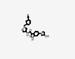 N#Cc1cccc(Cn2cc(NC(=O)c3n[nH]c4cc(N5CCC(O)C5)ccc34)cn2)c1